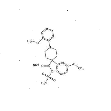 COc1cccc(C2(C(=O)OS(N)(=O)=O)CCN(c3ccccc3OC)CC2)c1.[NaH]